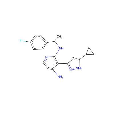 C[C@H](Nc1nccc(N)c1-c1cc(C2CC2)[nH]n1)c1ccc(F)cc1